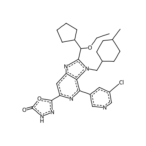 CCOC(c1nc2cc(-c3n[nH]c(=O)o3)nc(-c3cncc(Cl)c3)c2n1CC1CCC(C)CC1)C1CCCC1